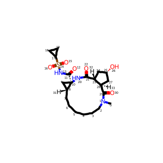 CN1CCCCCC[C@@H]2C[C@@]2(C(=O)NS(=O)(=O)C2CC2)NC(=O)[C@@H]2C[C@H](O)C[C@H]2C1=O